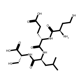 CC(C)C[C@H](NC(=O)[C@H](CCC(=O)O)NC(=O)[C@H](N)CCS)C(=O)N[C@H](CS)C(=O)O